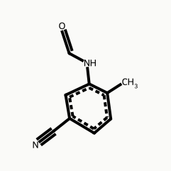 Cc1ccc(C#N)cc1NC=O